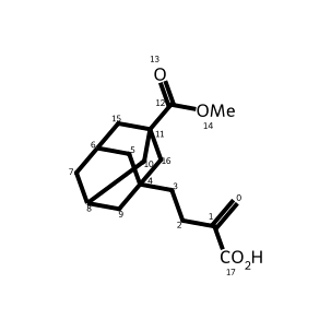 C=C(CCC12CC3CC(C1)CC(C(=O)OC)(C3)C2)C(=O)O